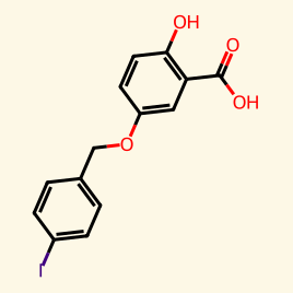 O=C(O)c1cc(OCc2ccc(I)cc2)ccc1O